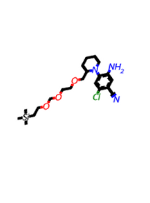 C[Si](C)(C)CCOCOCCOCC1CCCCN1c1cc(Cl)c(C#N)cc1N